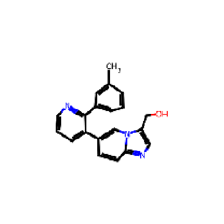 Cc1cccc(-c2ncccc2-c2ccc3ncc(CO)n3c2)c1